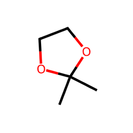 CC1(C)OCCO1